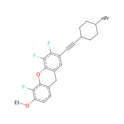 CCCC1CCC(C#Cc2cc3c(c(F)c2F)Oc2c(ccc(OCC)c2F)C3)CC1